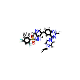 CC=CN1CCN(c2nc(C)nc3ccc(-c4cnc(OC)c(NS(=O)(=O)c5ccc(F)cc5F)c4)cc23)CC1